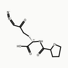 [N-]=[N+]=CC(=O)CC[C@H](NC(=O)C1CCCO1)C(=O)O